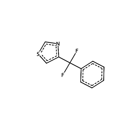 FC(F)(c1ccccc1)c1cscn1